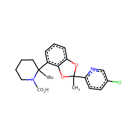 CC1(c2ccc(Cl)cn2)Oc2cccc(C3(C(C)(C)C)CCCCN3C(=O)O)c2O1